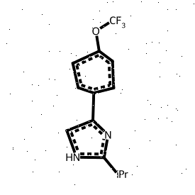 CC(C)c1nc(-c2ccc(OC(F)(F)F)cc2)c[nH]1